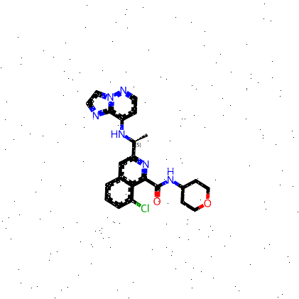 C[C@H](Nc1ccnn2ccnc12)c1cc2cccc(Cl)c2c(C(=O)NC2CCOCC2)n1